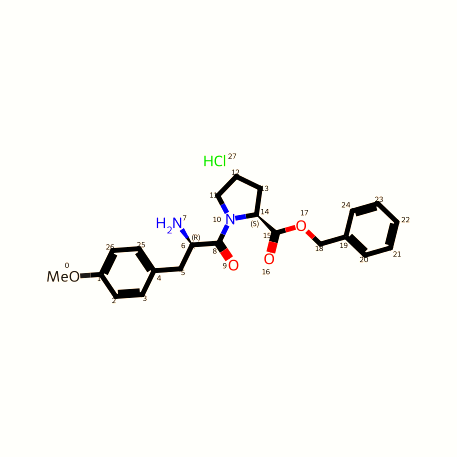 COc1ccc(C[C@@H](N)C(=O)N2CCC[C@H]2C(=O)OCc2ccccc2)cc1.Cl